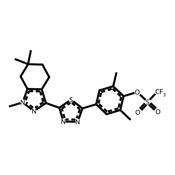 Cc1cc(-c2nnc(-c3nn(C)c4c3CCC(C)(C)C4)s2)cc(C)c1OS(=O)(=O)C(F)(F)F